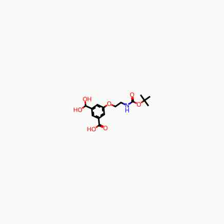 CC(C)(C)OC(=O)NCCOc1cc(C(=O)O)cc(C(O)O)c1